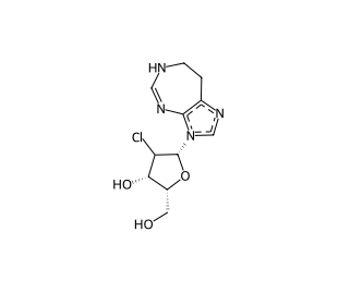 OC[C@H]1O[C@@H](n2cnc3c2N=CNCC3)C(Cl)[C@H]1O